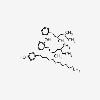 CCC(C)CC(C)CCc1ccccc1.CCC(C)CC(C)CCc1ccccc1O.CCCCCCCCCCCCc1ccc(O)cc1